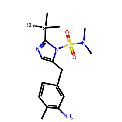 Cc1ccc(Cc2cnc([Si](C)(C)C(C)(C)C)n2S(=O)(=O)N(C)C)cc1N